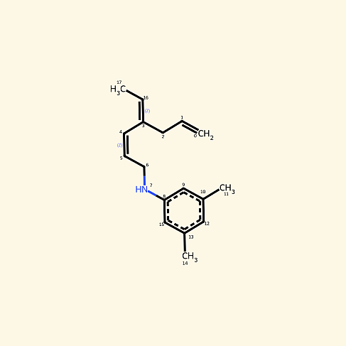 C=CCC(/C=C\CNc1cc(C)cc(C)c1)=C/C